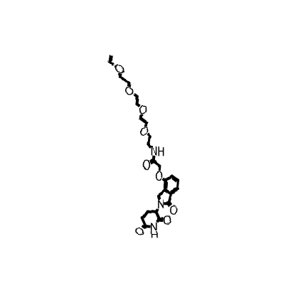 CCOCCOCCOCCOCCNC(=O)COc1cccc2c1CN(C1CCC(=O)NC1=O)C2=O